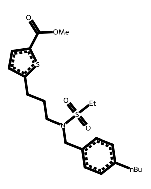 CCCCc1ccc(CN(CCCc2ccc(C(=O)OC)s2)S(=O)(=O)CC)cc1